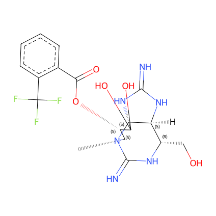 C[C@H]1[C@H](OC(=O)c2ccccc2C(F)(F)F)C(O)(O)[C@]23NC(=N)N[C@H]2[C@H](CO)NC(=N)N13